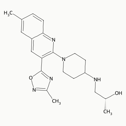 Cc1ccc2nc(N3CCC(NC[C@@H](C)O)CC3)c(-c3nc(C)no3)cc2c1